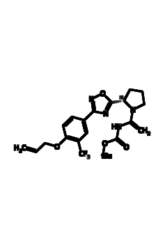 C=CCOc1ccc(-c2noc([C@@H]3CCCN3C(=C)NC(=O)OC(C)(C)C)n2)cc1C(F)(F)F